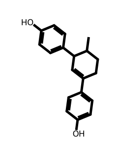 CC1CCC(c2ccc(O)cc2)=CC1c1ccc(O)cc1